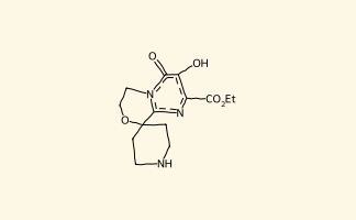 CCOC(=O)c1nc2n(c(=O)c1O)CCOC21CCNCC1